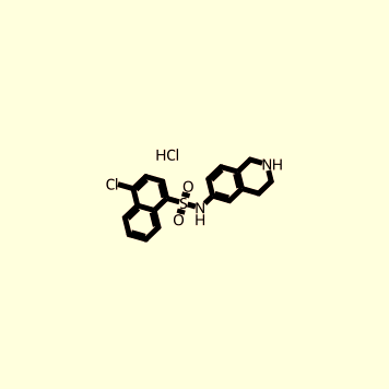 Cl.O=S(=O)(Nc1ccc2c(c1)CCNC2)c1ccc(Cl)c2ccccc12